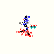 CCn1c(CNC(=O)c2nc3cc[nH]c3nc2N)[n+](CC)c2ccc(C(=O)N3CC[C@@H](N(C[C@H](O)[C@@H](O)[C@H](O)[C@H](O)CO)C[C@H](O)[C@@H](O)[C@H](O)[C@H](O)CO)C3)cc21.O=C(O)C(F)(F)F.O=C([O-])C(F)(F)F